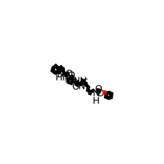 CC(CCc1nc(C(=O)NN2CC[C@H](NC(=O)c3ccc4ccccc4n3)C2=O)cs1)CNC(=O)OCc1ccccc1